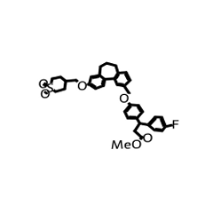 COC(=O)CC(c1ccc(F)cc1)c1ccc(OCc2ccc3c(c2)-c2ccc(OCC4CCS(=O)(=O)CC4)cc2CCC3)cc1